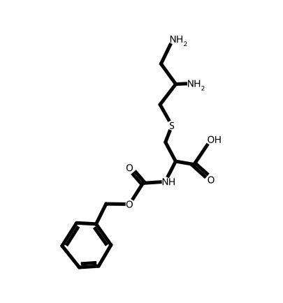 NCC(N)CSCC(NC(=O)OCc1ccccc1)C(=O)O